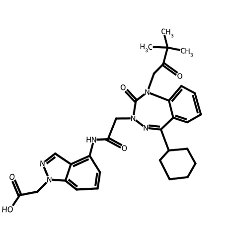 CC(C)(C)C(=O)CN1C(=O)N(CC(=O)Nc2cccc3c2cnn3CC(=O)O)N=C(C2CCCCC2)c2ccccc21